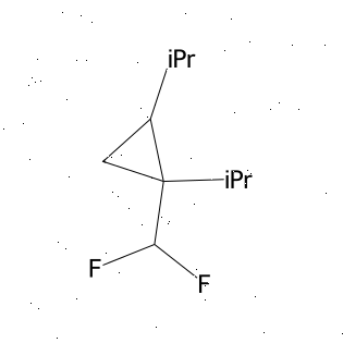 CC(C)C1CC1(C(C)C)C(F)F